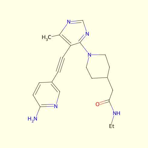 CCNC(=O)CC1CCN(c2ncnc(C)c2C#Cc2ccc(N)nc2)CC1